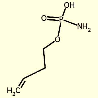 C=CCCOP(N)(=O)O